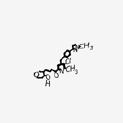 Cc1nc(C(=O)C/C=C/C2COCC[C@@H]2O)cc(Cc2ccc(-c3ccn(C)n3)cc2)c1Cl